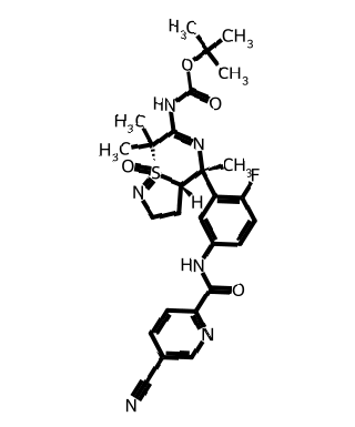 CC(C)(C)OC(=O)NC1=N[C@](C)(c2cc(NC(=O)c3ccc(C#N)cn3)ccc2F)[C@@H]2CCN=[S@]2(=O)C1(C)C